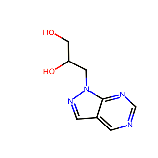 OCC(O)Cn1ncc2cncnc21